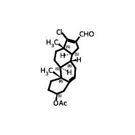 CC(=O)O[C@H]1CC[C@@]2(C)C(=CC[C@@H]3[C@@H]2CC[C@]2(C)C(Cl)=C(C=O)C[C@@H]32)C1